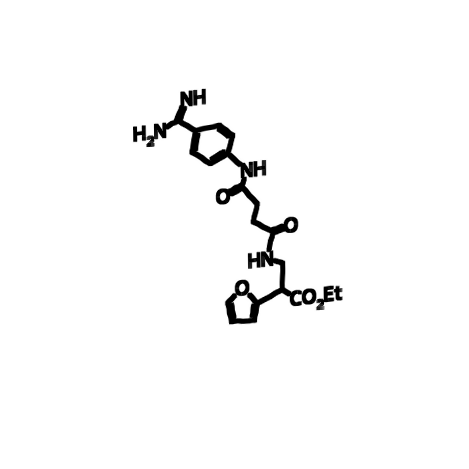 CCOC(=O)C(CNC(=O)CCC(=O)Nc1ccc(C(=N)N)cc1)c1ccco1